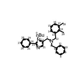 CCCCn1c(CN(Cc2ccccc2)Cc2cccc(C)c2C)cnc1-c1ccccc1